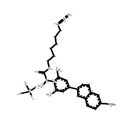 COc1ccc2cc(-c3cc(C)[n+](N(C)C(=O)OCCCCCCN=[N+]=[N-])c(C)c3)ccc2c1.F[B-](F)(F)F